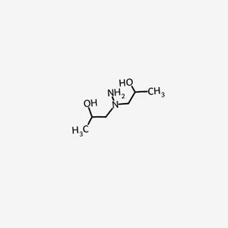 CC(O)CN(N)CC(C)O